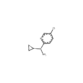 NN(c1ccc(Cl)cn1)C1CC1